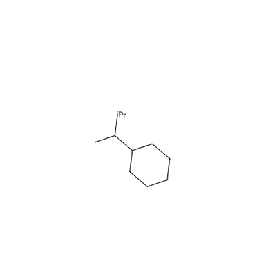 [CH2]C(C)C(C)C1CCCCC1